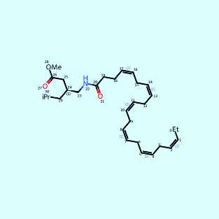 CC/C=C\C/C=C\C/C=C\C/C=C\C/C=C\C/C=C\CCC(=O)NC[C@H](CC(=O)OC)CC(C)C